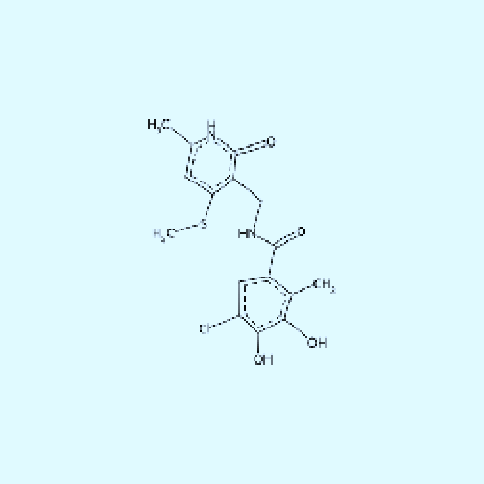 CSc1cc(C)[nH]c(=O)c1CNC(=O)c1cc(Cl)c(O)c(O)c1C